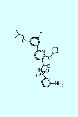 CC(C)COc1cc(F)cc(-c2ccc(C(=O)NS(=O)(=O)c3cccc(N)n3)c(OC3CCC3)n2)c1